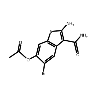 CC(=O)Oc1cc2sc(N)c(C(N)=O)c2cc1Br